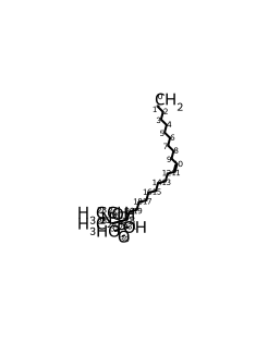 C=CCCCCCCCC/C=C\CCCCCCCCCCC(O)(C[N+](C)(C)C)P(=O)(O)O